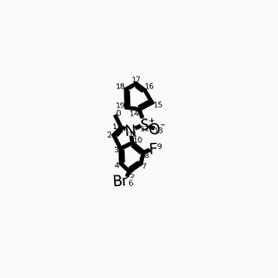 Cc1cc2cc(Br)cc(F)c2n1[S+]([O-])c1ccccc1